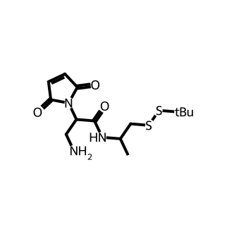 CC(CSSC(C)(C)C)NC(=O)C(CN)N1C(=O)C=CC1=O